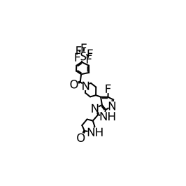 O=C1CCC(c2nc3c(C4CCN(C(=O)c5ccc(S(F)(F)(F)(F)F)cc5)CC4)c(F)cnc3[nH]2)CN1